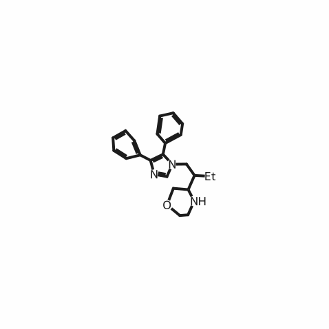 CCC(Cn1cnc(-c2ccccc2)c1-c1ccccc1)C1COCCN1